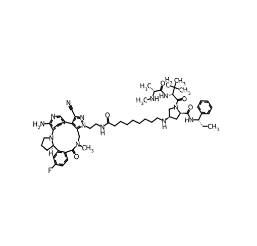 CC[C@H](NC(=O)[C@H]1C[C@@H](NCCCCCCCCC(=O)NCCn2nc(C#N)c3c2CN(C)C(=O)c2ccc(F)cc2[C@H]2CCCN2c2cc-3cnc2N)CN1C(=O)[C@H](NC(=O)[C@@H](C)NC)C(C)(C)C)c1ccccc1